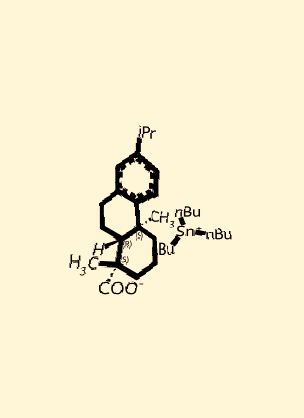 CC(C)c1ccc2c(c1)CC[C@H]1[C@@](C)(C(=O)[O-])CCC[C@]21C.CCC[CH2][Sn+]([CH2]CCC)[CH2]CCC